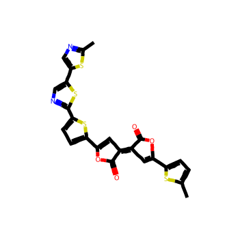 Cc1ccc(C2=C/C(=C3/C=C(c4ccc(-c5ncc(-c6cnc(C)s6)s5)s4)OC3=O)C(=O)O2)s1